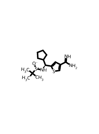 CC(C)(C)[S+]([O-])N[C@H](c1cc(C(=N)N)cs1)C1CCCC1